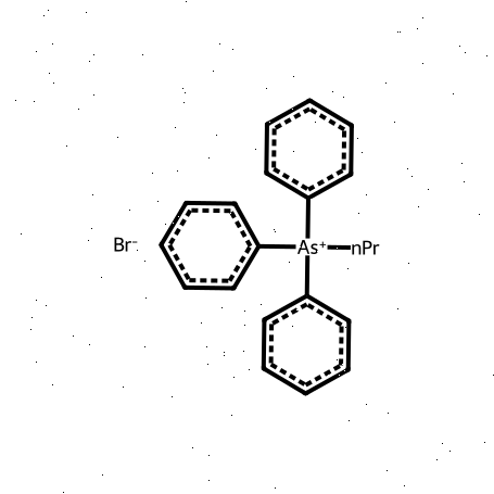 CCC[As+](c1ccccc1)(c1ccccc1)c1ccccc1.[Br-]